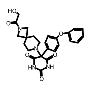 O=C1NC(=O)C(c2ccc(Oc3ccccc3)cc2)(N2CCC3(CC2)CN(C(=O)CO)C3)C(=O)N1